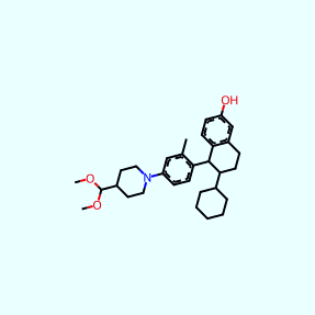 COC(OC)C1CCN(c2ccc(C3c4ccc(O)cc4CCC3C3CCCCC3)c(C)c2)CC1